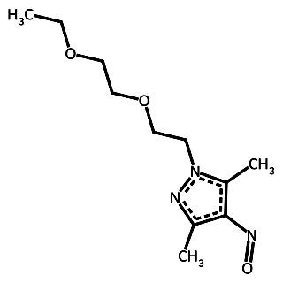 CCOCCOCCn1nc(C)c(N=O)c1C